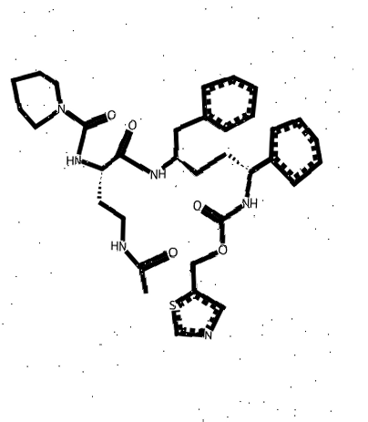 CC(=O)NCC[C@H](NC(=O)N1CCCCC1)C(=O)N[C@H](CC[C@@H](NC(=O)OCc1cncs1)c1ccccc1)Cc1ccccc1